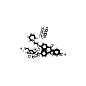 NCCCC(O)(P(=O)(O)O)P(=O)(O)Oc1ccc(-c2sc3cc(O)ccc3c2C(=O)c2ccc(OCCN3CCCCC3)cc2)cc1.O.O.O.O.O